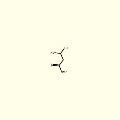 [CH2]NC(=O)CC(O)C(Cl)(Cl)Cl